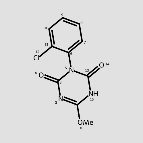 COc1nc(=O)n(-c2ccccc2Cl)c(=O)[nH]1